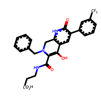 O=C(O)CCNC(=O)C1=C(O)c2cc(-c3cccc(C(F)(F)F)c3)c(=O)[nH]c2CN1Cc1ccccc1